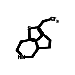 FC(F)(F)Cc1sc2c3c1CCC3CNCC2